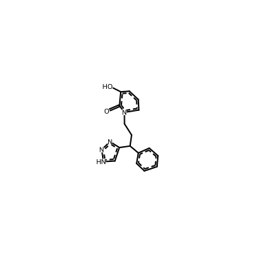 O=c1c(O)cccn1CCC(c1ccccc1)c1c[nH]nn1